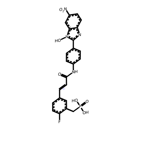 O=C(/C=C/c1ccc(F)c(CP(=O)(O)O)c1)Nc1ccc(-c2nc3ccc([N+](=O)[O-])cc3n2O)cc1